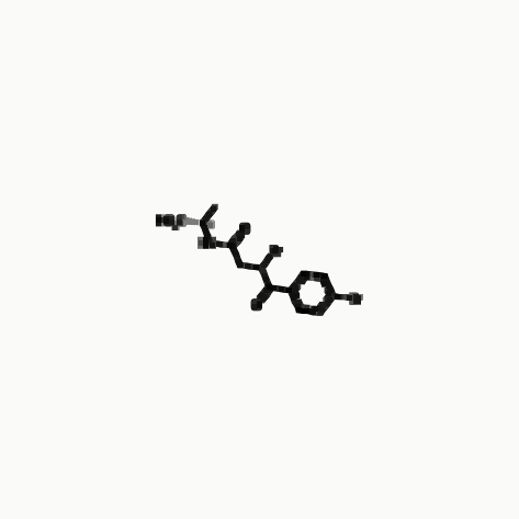 C[C@H](NC(=O)CC(Br)C(=O)c1ccc(Br)cc1)C(=O)O